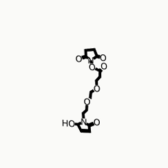 O=C(CCOCCOCCN1C(=O)C=CC1O)ON1C(=O)CCC1=O